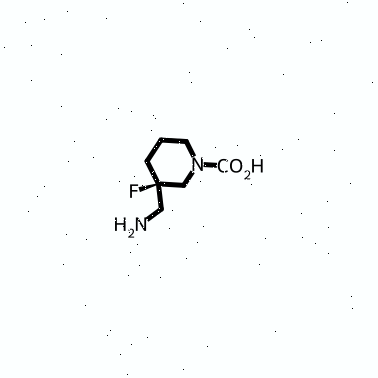 NC[C@]1(F)CCCN(C(=O)O)C1